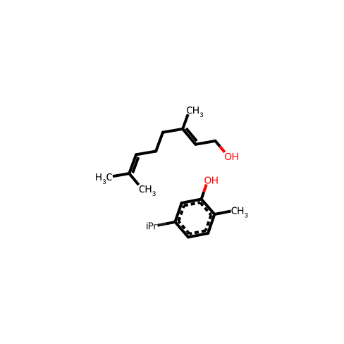 CC(C)=CCCC(C)=CCO.Cc1ccc(C(C)C)cc1O